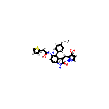 O=Cc1ccc(-c2c(NC(=O)Cc3cccs3)ccc3c2/C(=C/c2[nH]ccc2O)C(=O)N3)cc1